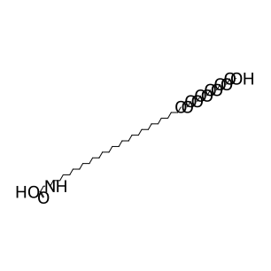 O=C(O)CNCCCCCCCCCCCCCCCCCCCCCCCCCCOOOOOOOOOOOO